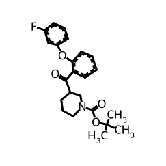 CC(C)(C)OC(=O)N1CCCC(C(=O)c2ccccc2Oc2cccc(F)c2)C1